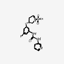 CCS(=O)(=O)N1CC[C@H](Oc2cc(F)cc(NC(=O)Nc3cccnc3)c2)C1